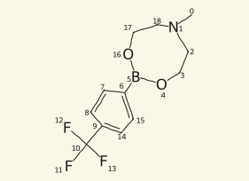 CN1CCOB(c2ccc(C(F)(F)F)cc2)OCC1